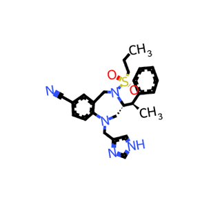 CCCS(=O)(=O)N1Cc2cc(C#N)ccc2N(Cc2c[nH]cn2)C[C@H]1[C@H](C)c1ccccc1